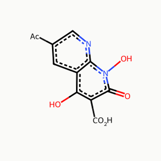 CC(=O)c1cnc2c(c1)c(O)c(C(=O)O)c(=O)n2O